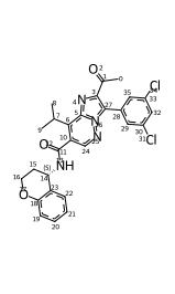 CC(=O)c1nc2c(C(C)C)c(C(=O)N[C@H]3CCOc4ccccc43)cnn2c1-c1cc(Cl)cc(Cl)c1